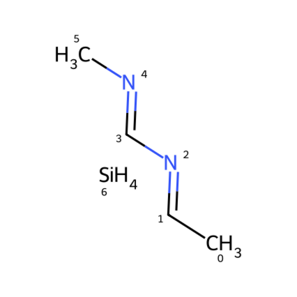 CC=NC=NC.[SiH4]